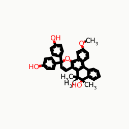 COc1ccc2c3c(c4c(c2c1)OC(c1ccc(O)cc1)(c1ccc(O)cc1)C=C4)C(C)(C)C(C)(O)c1ccccc1-3